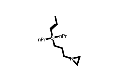 CC=C[Si](CCC)(CCC)CCCN1CC1